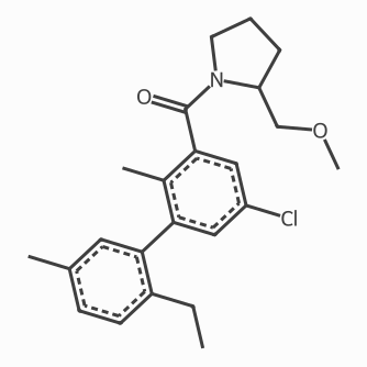 CCc1ccc(C)cc1-c1cc(Cl)cc(C(=O)N2CCCC2COC)c1C